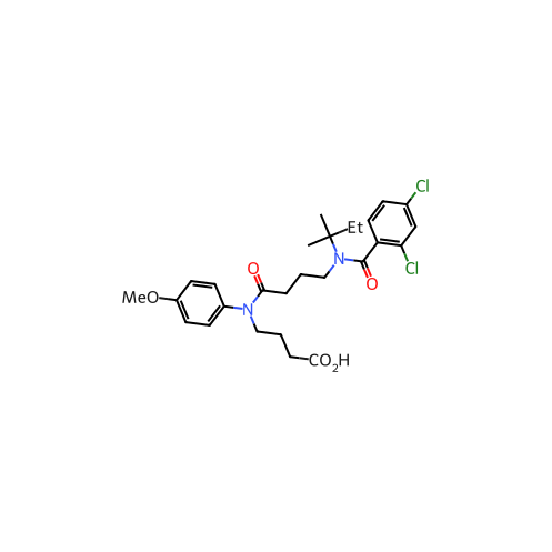 CCC(C)(C)N(CCCC(=O)N(CCCC(=O)O)c1ccc(OC)cc1)C(=O)c1ccc(Cl)cc1Cl